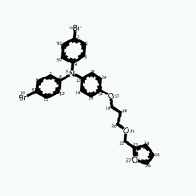 Brc1ccc(N(c2ccc(Br)cc2)c2ccc(OCCCOCc3ccco3)cc2)cc1